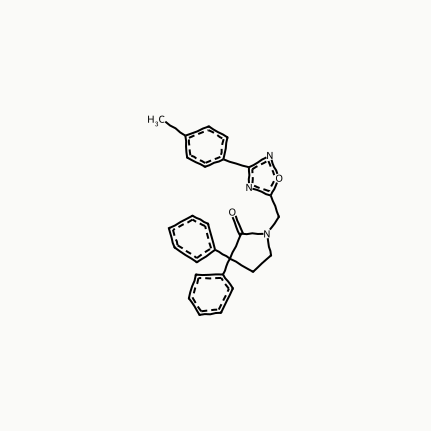 Cc1ccc(-c2noc(CN3CCC(c4ccccc4)(c4ccccc4)C3=O)n2)cc1